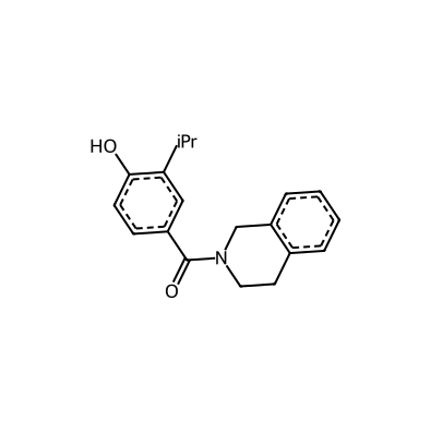 CC(C)c1cc(C(=O)N2CCc3ccccc3C2)ccc1O